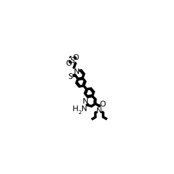 CCCN(CCC)C(=O)C1=Cc2ccc(-c3ccc4c(=S)n(CCS(C)(=O)=O)ccc4c3)cc2N=C(N)C1